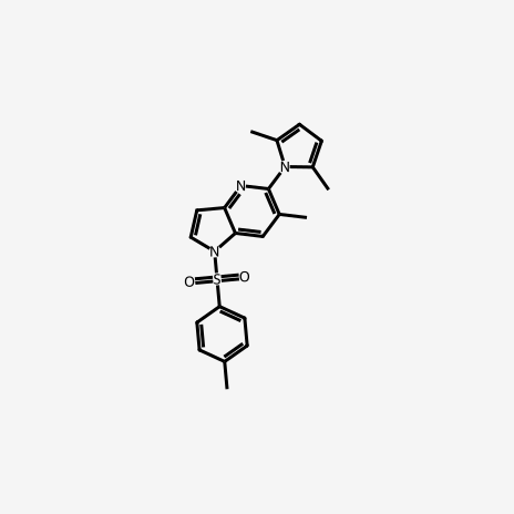 Cc1ccc(S(=O)(=O)n2ccc3nc(-n4c(C)ccc4C)c(C)cc32)cc1